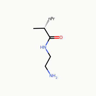 CCC[C@@H](C)C(=O)NCCN